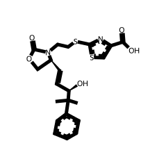 CC(C)(c1ccccc1)[C@H](O)C=C[C@H]1COC(=O)N1CCSc1nc(C(=O)O)cs1